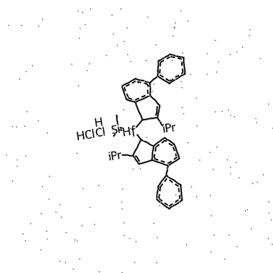 CC(C)C1=Cc2c(-c3ccccc3)cccc2[CH]1[Hf]([CH]1C(C(C)C)=Cc2c(-c3ccccc3)cccc21)=[Si](C)C.Cl.Cl